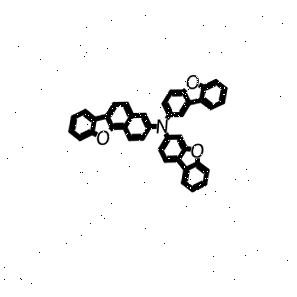 c1ccc2c(c1)oc1cc(N(c3ccc4c(ccc5c6ccccc6oc45)c3)c3ccc4oc5ccccc5c4c3)ccc12